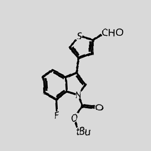 CC(C)(C)OC(=O)n1cc(-c2csc(C=O)c2)c2cccc(F)c21